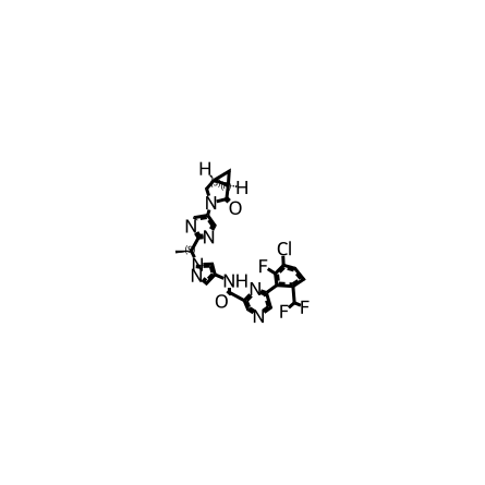 C[C@@H](c1ncc(N2C[C@H]3C[C@H]3C2=O)cn1)n1cc(NC(=O)c2cncc(-c3c(C(F)F)ccc(Cl)c3F)n2)cn1